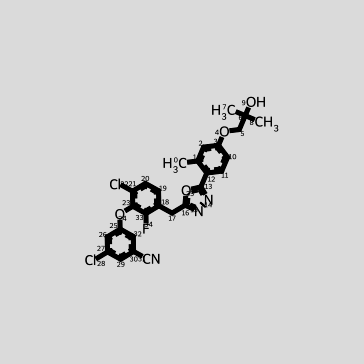 Cc1cc(OCC(C)(C)O)ccc1-c1nnc(Cc2ccc(Cl)c(Oc3cc(Cl)cc(C#N)c3)c2F)o1